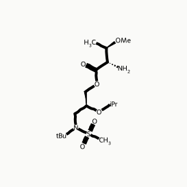 CO[C@H](C)[C@H](N)C(=O)OC[C@H](CN(C(C)(C)C)S(C)(=O)=O)OC(C)C